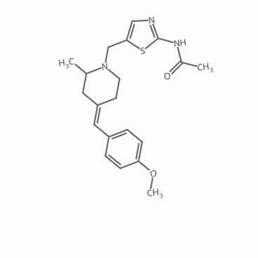 COc1ccc(C=C2CCN(Cc3cnc(NC(C)=O)s3)C(C)C2)cc1